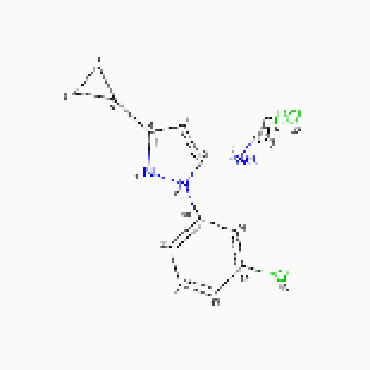 CNc1cc(C2CC2)nn1-c1cccc(Cl)c1.Cl